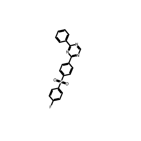 O=S(=O)(c1ccc(F)cc1)c1ccc(-c2ncnc(-c3ccccc3)n2)cc1